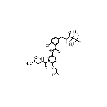 CC(C)CNC(=O)c1cc(NC(=O)c2cc(CNC(=O)C(C)(C)C(F)(F)F)ccc2Cl)ccc1OCC(F)F